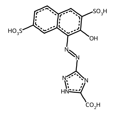 O=C(O)c1nc(/N=N/c2c(O)c(S(=O)(=O)O)cc3ccc(S(=O)(=O)O)cc23)n[nH]1